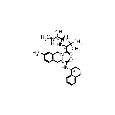 CN[C@@H](C)C(=O)N[C@H](C(=O)N1Cc2cc(C)ccc2C[C@H]1C(=O)N[C@@H]1CCCc2ccccc21)C(C)(C)C